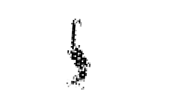 CCCCCCCCCCCCN1C(=O)c2ccc3c4ccc5c6c(ccc(c7ccc(c2c37)C1=O)c64)C(=O)N(Cc1ccc(NC(=O)N(C)C)cc1)C5=O